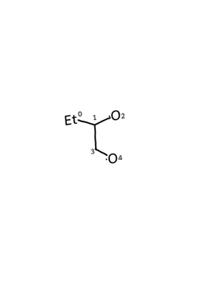 CCC([O])C[O]